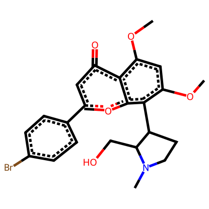 COc1cc(OC)c2c(=O)cc(-c3ccc(Br)cc3)oc2c1C1CCN(C)C1CO